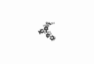 O=C(Nc1cccn(N2CCC(F)(F)CC2)c1=O)c1ccc(NS(=O)(=O)CCO)cc1N1CCC2(CC1)CC2